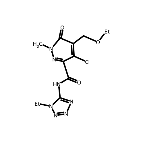 CCOCc1c(Cl)c(C(=O)Nc2nnnn2CC)nn(C)c1=O